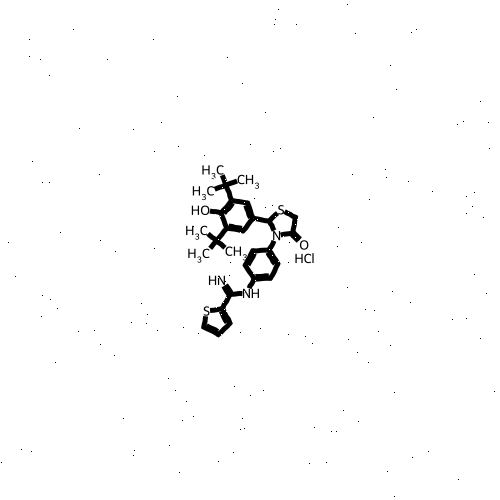 CC(C)(C)c1cc(C2SCC(=O)N2c2ccc(NC(=N)c3cccs3)cc2)cc(C(C)(C)C)c1O.Cl